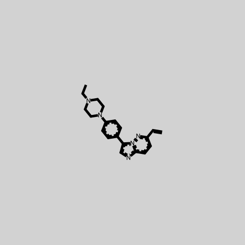 C=Cc1ccc2ncc(-c3ccc(N4CCN(CC)CC4)cc3)n2n1